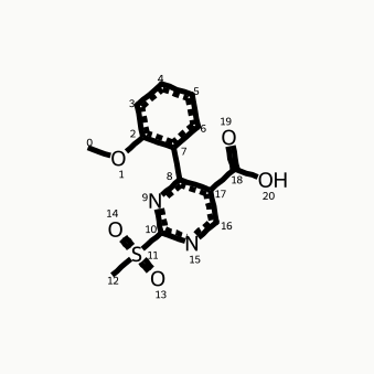 COc1ccccc1-c1nc(S(C)(=O)=O)ncc1C(=O)O